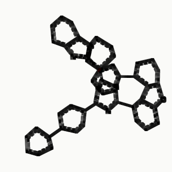 c1ccc(-c2ccc(-c3nc(-c4ccccc4)nc(-c4cccc5oc6cccc(-c7cccc(-c8nc9ccccc9s8)c7)c6c45)n3)cc2)cc1